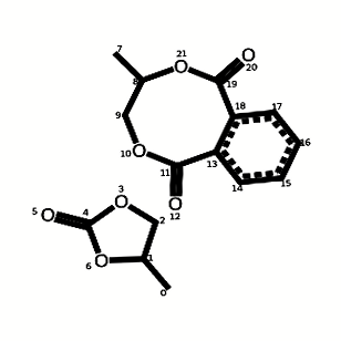 CC1COC(=O)O1.CC1COC(=O)c2ccccc2C(=O)O1